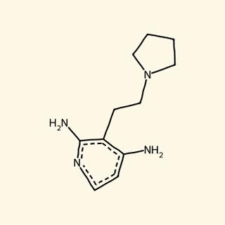 Nc1ccnc(N)c1CCN1CCCC1